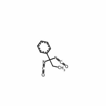 CCC(N=C=O)(N=C=O)c1ccccc1